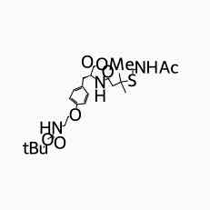 COC(=O)[C@H](Cc1ccc(OCCNC(=O)OC(C)(C)C)cc1)NC(=O)CC(C)(C)SCNC(C)=O